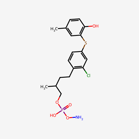 Cc1ccc(O)c(Sc2ccc(CCC(C)COP(=O)(O)ON)c(Cl)c2)c1